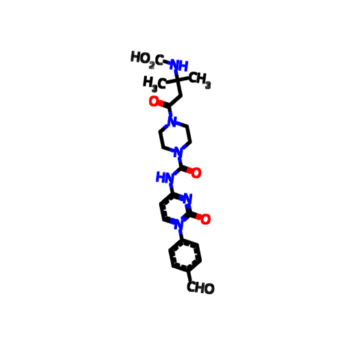 CC(C)(CC(=O)N1CCN(C(=O)Nc2ccn(-c3ccc(C=O)cc3)c(=O)n2)CC1)NC(=O)O